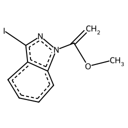 C=C(OC)n1nc(I)c2ccccc21